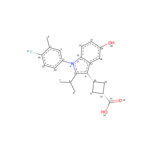 Cc1cc(-n2c(C(C)C)c([C@H]3C[C@@H](C(=O)O)C3)c3cc(O)ccc32)ccc1F